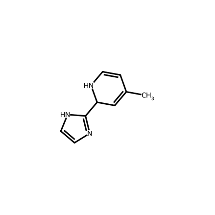 CC1=CC(c2ncc[nH]2)NC=C1